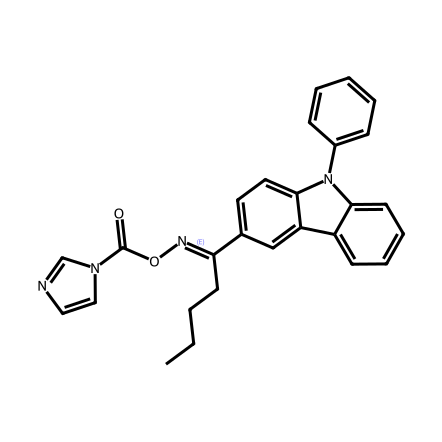 CCCC/C(=N\OC(=O)n1ccnc1)c1ccc2c(c1)c1ccccc1n2-c1ccccc1